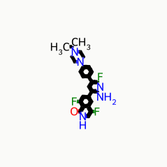 CC(C)N1CCN(c2ccc(-c3cc(-c4cc(F)c5c(=O)[nH]cc(F)c5c4)c(N)nc3F)cc2)CC1